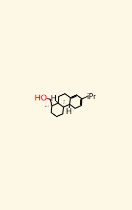 CC(C)C1=CC[C@H]2C(=C1)CC[C@H]1[C@](C)(CO)CCC[C@]21C